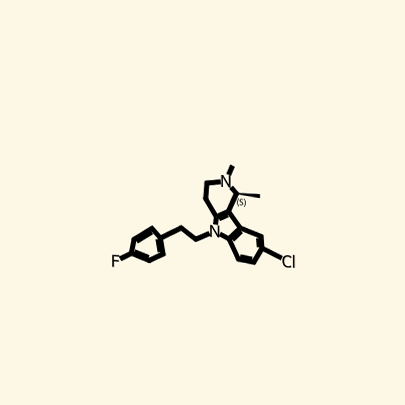 C[C@H]1c2c(n(CCc3ccc(F)cc3)c3ccc(Cl)cc23)CCN1C